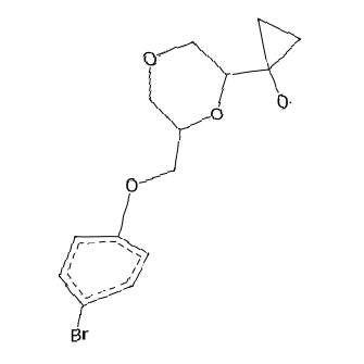 [O]C1(C2COCC(COc3ccc(Br)cc3)O2)CC1